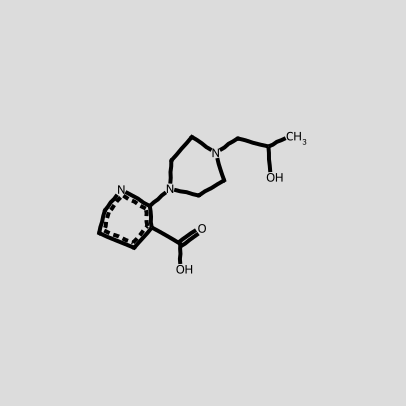 CC(O)CN1CCN(c2ncccc2C(=O)O)CC1